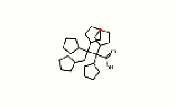 O=C(O)C(C1CCCC1)(C1CCCC1)C(CC1CCCC1)(C1CCCC1)C1CCCC1